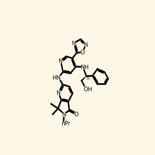 CCCN1C(=O)c2ccc(Nc3cc(N[C@H](CO)c4ccccc4)c(-c4ncno4)cn3)nc2C1(C)C